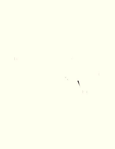 CC[C@H](C)[C@@H](CO)NC(=O)c1ccc(C(C)C)cc1